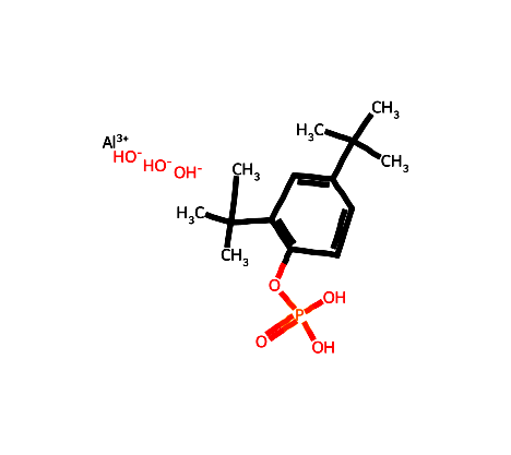 CC(C)(C)c1ccc(OP(=O)(O)O)c(C(C)(C)C)c1.[Al+3].[OH-].[OH-].[OH-]